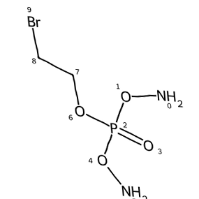 NOP(=O)(ON)OCCBr